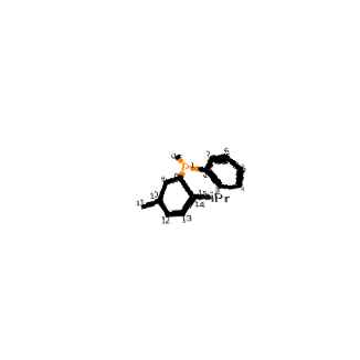 [CH2]P(c1ccccc1)C1CC(C)CCC1C(C)C